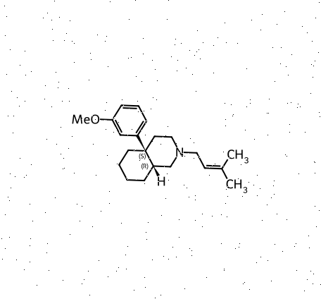 COc1cccc([C@]23CCCC[C@H]2CN(CC=C(C)C)CC3)c1